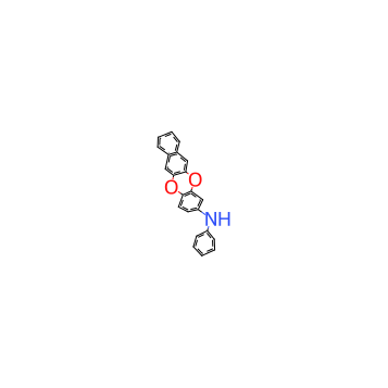 c1ccc(Nc2ccc3c(c2)Oc2cc4ccccc4cc2O3)cc1